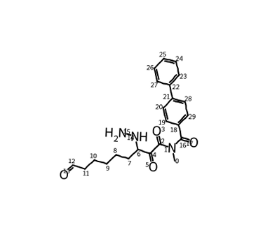 CN(C(=O)C(=O)C(CCCCCC=O)NN)C(=O)c1ccc(-c2ccccc2)cc1